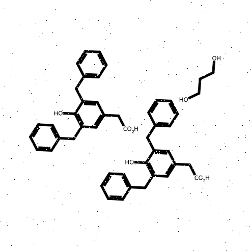 O=C(O)Cc1cc(Cc2ccccc2)c(O)c(Cc2ccccc2)c1.O=C(O)Cc1cc(Cc2ccccc2)c(O)c(Cc2ccccc2)c1.OCCCO